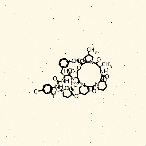 Cc1cccc(C[C@H](NC(=O)Nc2ccc(Cl)cc2F)C(=O)N[C@@H]2C(=O)N3C[C@H](OC(=O)CCN(C)C)CC[C@H]3C(=O)N3CCCC[C@H]3C(=O)N[C@@H](C)C(=O)N3C[C@H](C)C[C@H]3C(=O)O[C@H]2C)c1